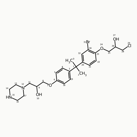 CC(C)(c1ccc(OCC(O)CN2CCNCC2)cc1)c1ccc(OCC(O)CCl)c(Br)c1